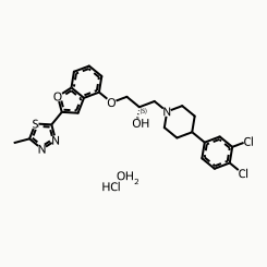 Cc1nnc(-c2cc3c(OC[C@@H](O)CN4CCC(c5ccc(Cl)c(Cl)c5)CC4)cccc3o2)s1.Cl.O